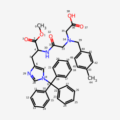 COC(=O)C(Cc1cn(C(c2ccccc2)(c2ccccc2)c2ccccc2)cn1)NC(=O)CN(CC(=O)O)Cc1ccc(C)cc1